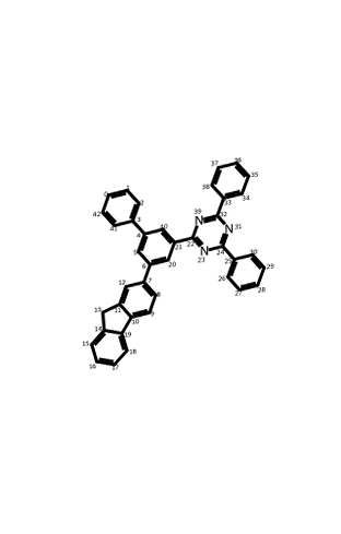 c1ccc(-c2cc(-c3ccc4c(c3)Cc3ccccc3-4)cc(-c3nc(-c4ccccc4)nc(-c4ccccc4)n3)c2)cc1